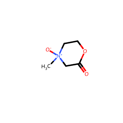 C[N+]1([O-])CCOC(=O)C1